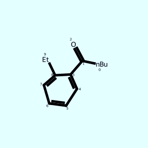 [CH2]CCCC(=O)c1ccccc1CC